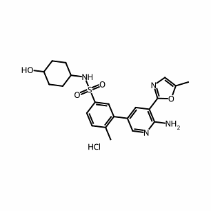 Cc1cnc(-c2cc(-c3cc(S(=O)(=O)NC4CCC(O)CC4)ccc3C)cnc2N)o1.Cl